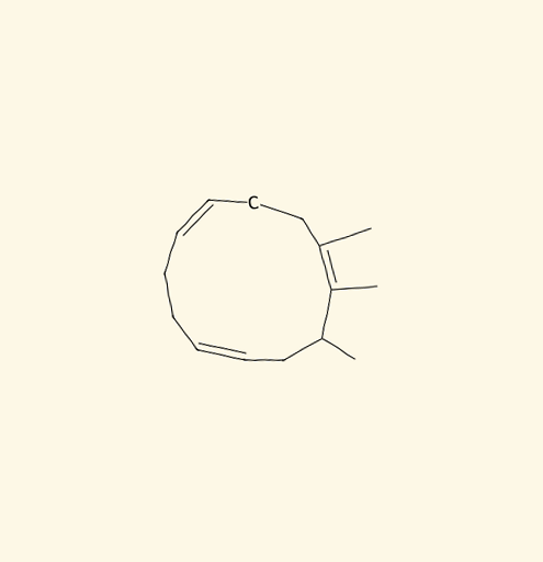 CC1=C(C)C(C)CC=CCCC=CCC1